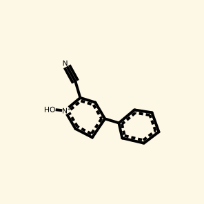 N#Cc1cc(-c2ccccc2)cc[n+]1O